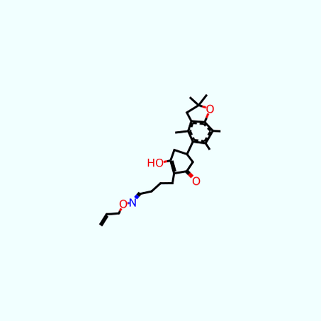 C=CCON=CCCCC1=C(O)CC(c2c(C)c(C)c3c(c2C)CC(C)(C)O3)CC1=O